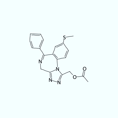 CSc1ccc2c(c1)C(c1ccccc1)=NCc1nnc(COC(C)=O)n1-2